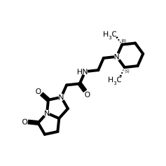 C[C@@H]1CCC[C@H](C)N1CCNC(=O)CN1CC2CCC(=O)N2C1=O